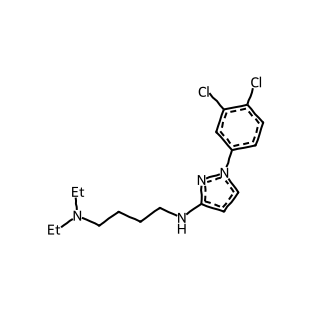 CCN(CC)CCCCNc1ccn(-c2ccc(Cl)c(Cl)c2)n1